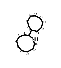 C1CCCCC(C2CCCCCCCC2)NCCC1